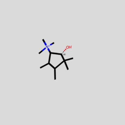 CC1C(C)C(C)(C)[C@@H](O)C1[N+](C)(C)C